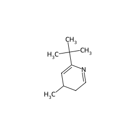 CC1C=C(C(C)(C)C)N=CC1